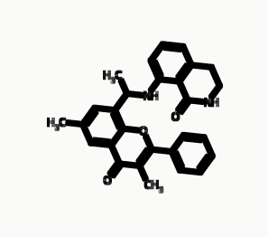 Cc1cc(C(C)Nc2cccc3c2C(=O)NCC3)c2oc(-c3ccccc3)c(C)c(=O)c2c1